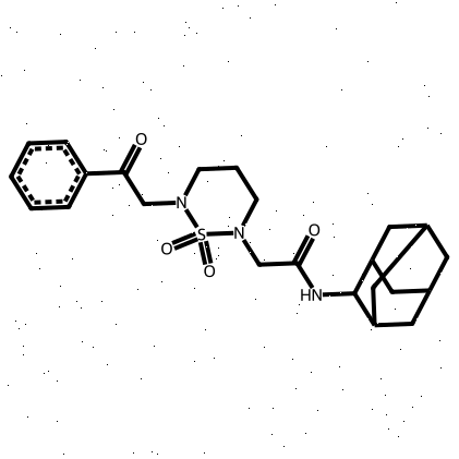 O=C(CN1CCCN(CC(=O)c2ccccc2)S1(=O)=O)NC1C2CC3CC(C2)CC1C3